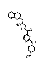 O=CN1CCC(Nc2cc(C(=O)NCC(O)CN3CCc4ccccc4C3)ccn2)CC1